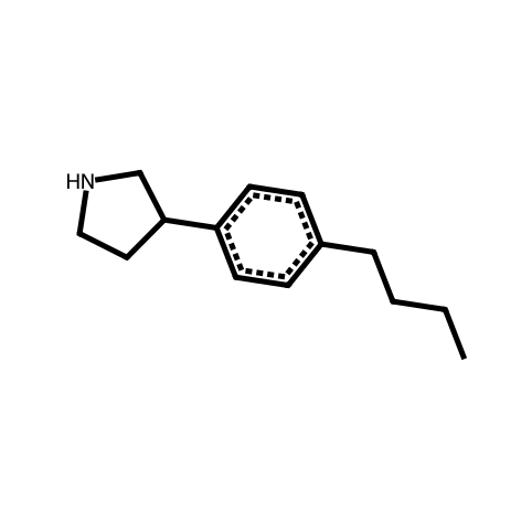 CCCCc1ccc(C2CCNC2)cc1